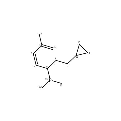 C=C(C)/C=C\C(CCC1CC1)P(C)C